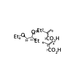 C=C(C)C(=O)O.C=C(C)C(=O)O.CCOCC(CC)OCC